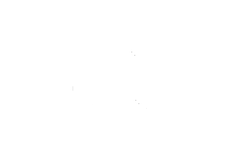 CC(C)CSc1cc(N)ccc1[N+](=O)[O-]